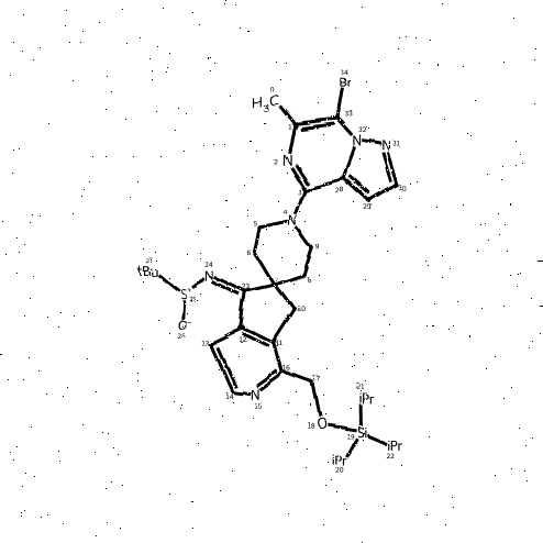 Cc1nc(N2CCC3(CC2)Cc2c(ccnc2CO[Si](C(C)C)(C(C)C)C(C)C)C3=N[S+]([O-])C(C)(C)C)c2ccnn2c1Br